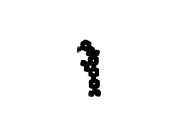 O=[N+]([O-])c1ccc(N2CCN(c3ccc(S(=O)(=O)Cc4cccc(F)c4)cc3[N+](=O)[O-])CC2)cc1